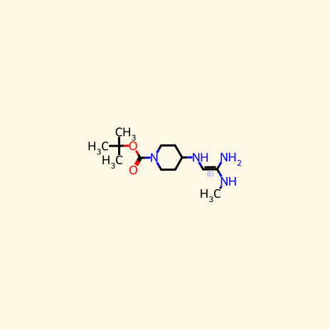 CN/C(N)=C/NC1CCN(C(=O)OC(C)(C)C)CC1